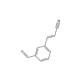 N#CC=Cc1cccc(C=O)c1